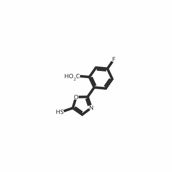 O=C(O)c1cc(F)ccc1-c1ncc(S)o1